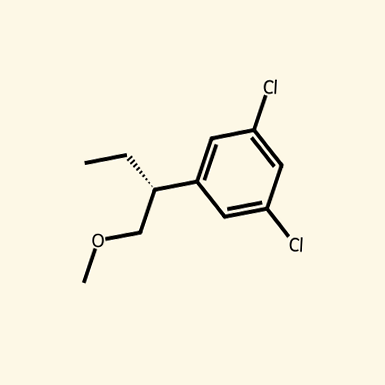 CC[C@@H](COC)c1cc(Cl)cc(Cl)c1